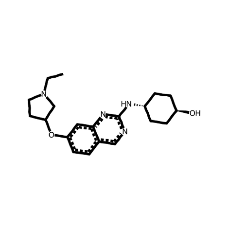 CCN1CCC(Oc2ccc3cnc(N[C@H]4CC[C@H](O)CC4)nc3c2)C1